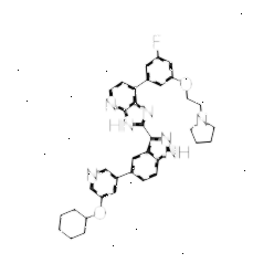 Fc1cc(OCCN2CCCC2)cc(-c2ccnc3[nH]c(-c4n[nH]c5ccc(-c6cncc(OC7CCCCC7)c6)cc45)nc23)c1